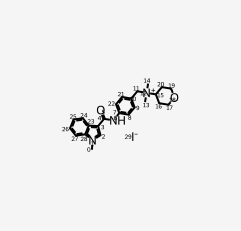 Cn1cc(C(=O)Nc2ccc(C[N+](C)(C)C3CCOCC3)cc2)c2ccccc21.[I-]